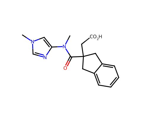 CN(C(=O)C1(CC(=O)O)Cc2ccccc2C1)c1cn(C)cn1